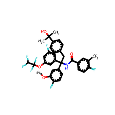 CC(C)Oc1cc(C(Cc2ccc(C(C)(C)O)cc2)(NC(=O)c2ccc(F)c(C(F)(F)F)c2)c2cc(F)cc(OC(F)(F)C(F)F)c2)ccc1F